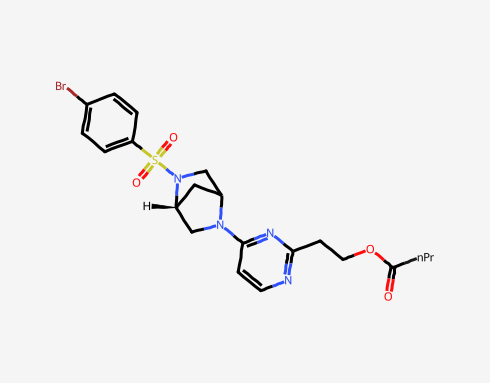 CCCC(=O)OCCc1nccc(N2C[C@H]3CC2CN3S(=O)(=O)c2ccc(Br)cc2)n1